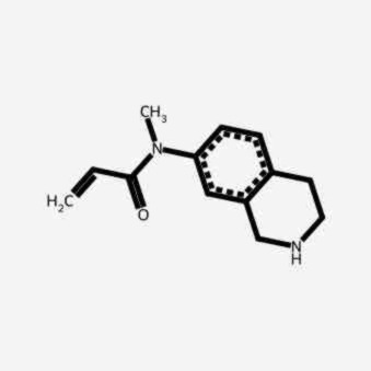 C=CC(=O)N(C)c1ccc2c(c1)CNCC2